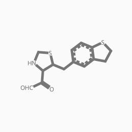 O=CC(=O)C1NCSC1Cc1ccc2c(c1)CCS2